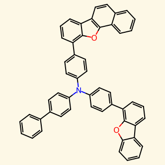 c1ccc(-c2ccc(N(c3ccc(-c4cccc5c4oc4ccccc45)cc3)c3ccc(-c4cccc5c4oc4c6ccccc6ccc54)cc3)cc2)cc1